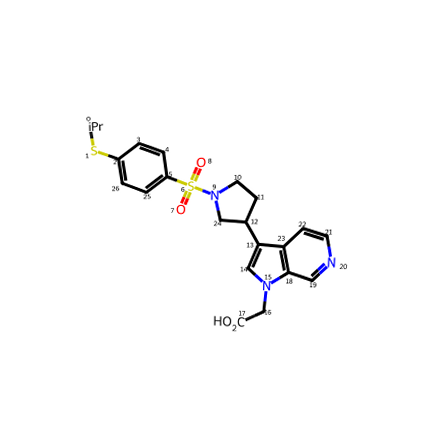 CC(C)Sc1ccc(S(=O)(=O)N2CCC(c3cn(CC(=O)O)c4cnccc34)C2)cc1